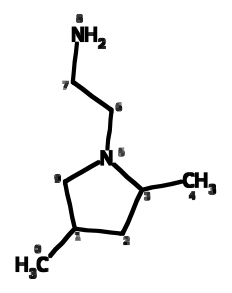 CC1CC(C)N(CCN)C1